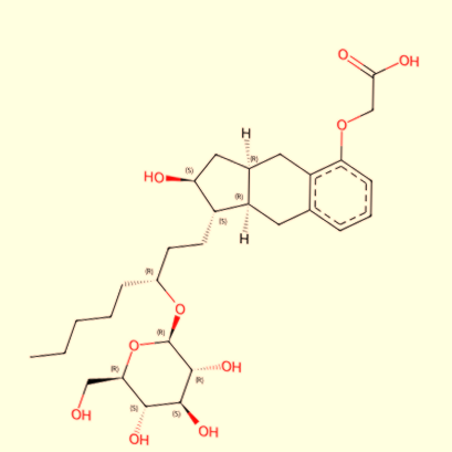 CCCCC[C@H](CC[C@H]1[C@@H]2Cc3cccc(OCC(=O)O)c3C[C@@H]2C[C@@H]1O)O[C@@H]1O[C@H](CO)[C@@H](O)[C@H](O)[C@H]1O